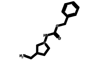 NCC1CCN(NC(=O)OCc2ccccc2)C1